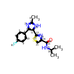 Cc1nc(-c2ccc(F)cc2)c(-c2nc(C(=O)NC(C)C)cs2)[nH]1